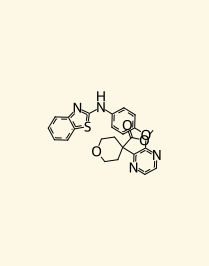 COC(=O)C1(c2nccnc2Oc2ccc(Nc3nc4ccccc4s3)cc2)CCOCC1